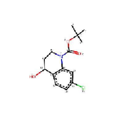 CC(C)(C)OC(=O)N1CCC(O)c2ccc(Cl)cc21